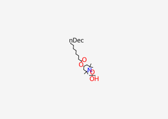 CCCCCCCCCCCCCCCCCC(=O)OC1CC(C)(C)N(OC(C)(C)O)C(C)(C)C1